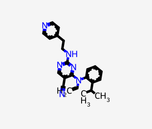 C=CN(c1ccccc1C(C)C)c1nc(NCCc2ccncc2)ncc1C#N